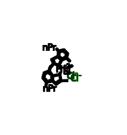 CCCc1ccc(C)c2c1C=C(C)[CH]2[Hf+2]([CH]1C(C)=Cc2c(CCC)ccc(C)c21)=[Si](C)C.[Cl-].[Cl-]